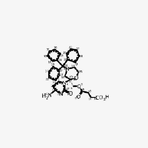 Nc1ccn([C@@]2(COC(=O)CCC(=O)O)CN(C(c3ccccc3)(c3ccccc3)c3ccccc3)CCO2)c(=O)n1